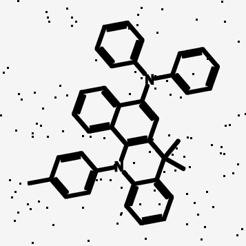 Cc1ccc(N2c3ccccc3C(C)(C)c3cc(N(c4ccccc4)c4ccccc4)c4ccccc4c32)cc1